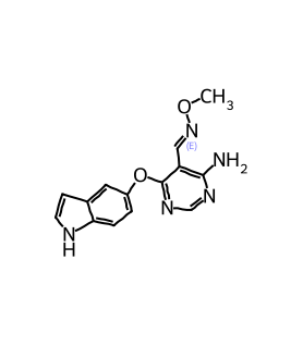 CO/N=C/c1c(N)ncnc1Oc1ccc2[nH]ccc2c1